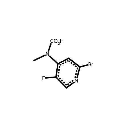 CN(C(=O)O)c1cc(Br)ncc1F